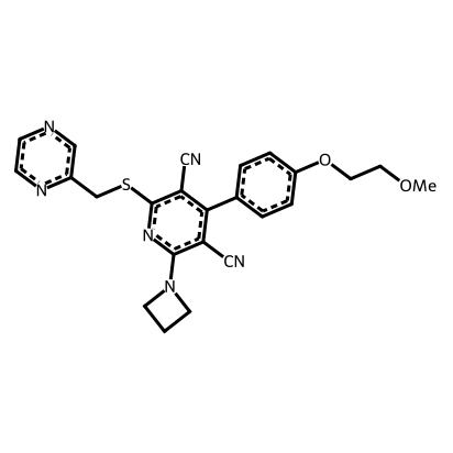 COCCOc1ccc(-c2c(C#N)c(SCc3cnccn3)nc(N3CCC3)c2C#N)cc1